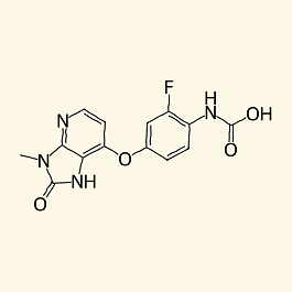 Cn1c(=O)[nH]c2c(Oc3ccc(NC(=O)O)c(F)c3)ccnc21